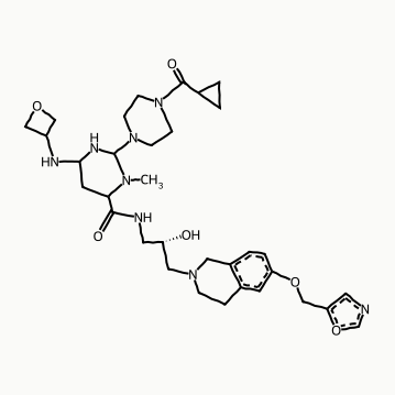 CN1C(C(=O)NC[C@H](O)CN2CCc3cc(OCc4cnco4)ccc3C2)CC(NC2COC2)NC1N1CCN(C(=O)C2CC2)CC1